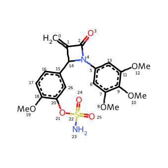 C=C1C(=O)N(c2cc(OC)c(OC)c(OC)c2)C1c1ccc(OC)c(OS(N)(=O)=O)c1